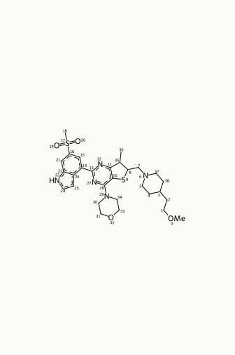 COCCC1CCN(CC2Sc3c(nc(-c4cc(S(C)(=O)=O)cc5[nH]ccc45)nc3N3CCOCC3)C2C)CC1